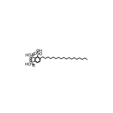 CCCCCCCCCCCCCCCCCCc1ccc(S(=O)(=O)O)c(S(=O)(=O)O)c1S(=O)(=O)O